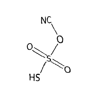 N#COS(=O)(=O)S